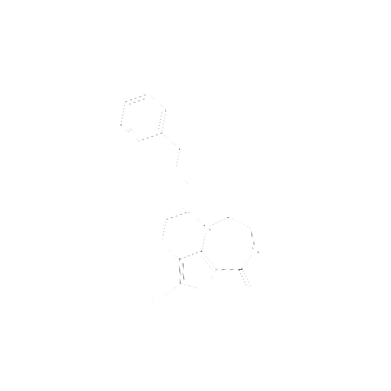 O=C1NCCN2c3c1sc(Br)c3OC[C@@H]2COCc1ccccc1